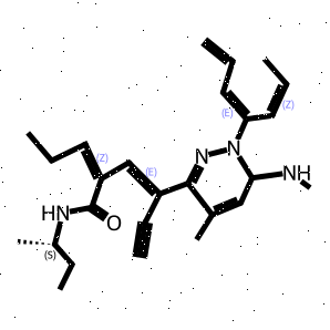 C#C/C(=C\C(=C\CC)C(=O)N[C@@H](C)CC)C1=NN(C(/C=C\C)=C/C=C)C(NC)C=C1C